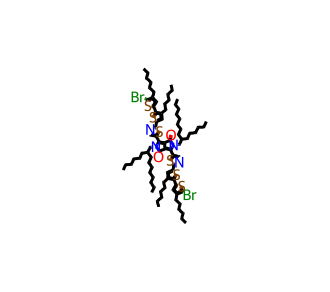 CCCCCCCCC(CCCCCC)CN1C(=O)C2=C(c3cnc(-c4cc(CCCCCC)c(-c5cc(CCCCCC)c(Br)s5)s4)s3)N(CC(CCCCCC)CCCCCCCC)C(=O)C2=C1c1cnc(-c2cc(CCCCCC)c(-c3cc(CCCCCC)c(Br)s3)s2)s1